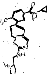 Cc1ccc(C(=O)NC2CC2)cc1-c1ccc2nc(NCC3CCCN3)ncc2c1